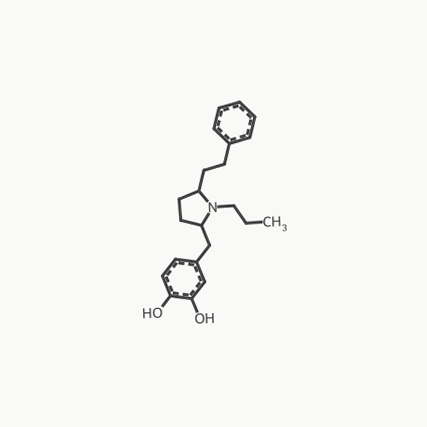 CCCN1C(CCc2ccccc2)CCC1Cc1ccc(O)c(O)c1